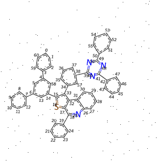 c1ccc(-c2cc(-c3ccccc3)cc(-c3sc4c(-c5ccccc5)nc5ccccc5c4c3-c3cccc(-c4nc(-c5ccccc5)nc(-c5ccccc5)n4)c3)c2)cc1